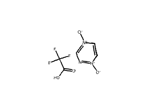 O=C(O)C(F)(F)F.[O-][n+]1cc[n+]([O-])nc1